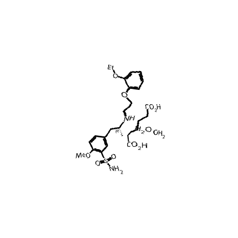 CCOc1ccccc1OCCN[C@H](C)Cc1ccc(OC)c(S(N)(=O)=O)c1.O.O.O=C(O)CCCCC(=O)O